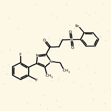 CCn1c(C(=O)CCS(=O)(=O)c2ccccc2Br)nc(-c2c(F)cccc2F)c1C